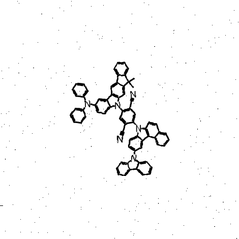 CC1(C)c2ccccc2-c2cc3c4cc(N(c5ccccc5)c5ccccc5)ccc4n(-c4cc(C#N)c(-n5c6ccc(-n7c8ccccc8c8ccccc87)cc6c6c7ccccc7ccc65)cc4C#N)c3cc21